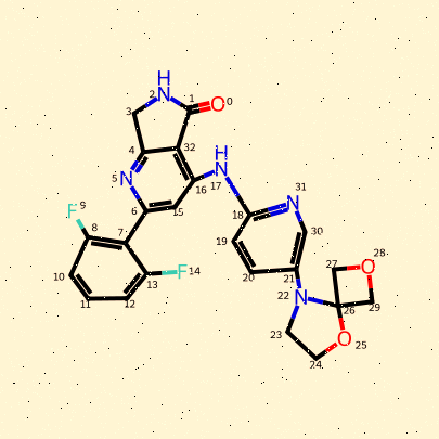 O=C1NCc2nc(-c3c(F)cccc3F)cc(Nc3ccc(N4CCOC45COC5)cn3)c21